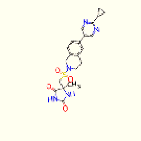 CC1(CS(=O)(=O)N2CCc3cc(-c4cnc(C5CC5)nc4)ccc3C2)NC(=O)NC1=O